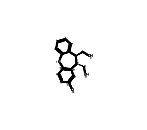 OC[C@@H]1c2ccccc2Oc2ccc(Cl)cc2[C@H]1CO